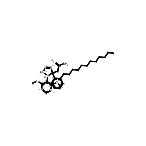 CCCCCCCCCCCCc1ccccc1C1(CC(N)=O)N=NNN1c1c(OC)ncnc1OC